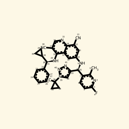 Cc1nc(F)ccc1[C@H](Nc1cc(C#N)c2ncc(C#N)c(N[C@@H](c3ccccc3)C3CC3)c2c1)c1cn(C2(C(F)(F)F)CC2)nn1